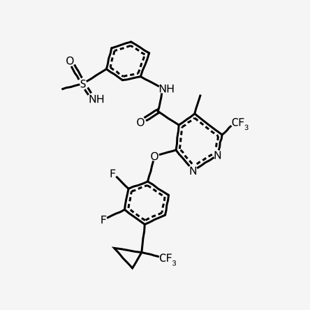 Cc1c(C(F)(F)F)nnc(Oc2ccc(C3(C(F)(F)F)CC3)c(F)c2F)c1C(=O)Nc1cccc(S(C)(=N)=O)c1